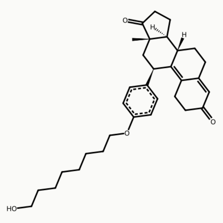 C[C@]12C[C@H](c3ccc(OCCCCCCCCO)cc3)C3=C4CCC(=O)C=C4CC[C@H]3[C@@H]1CCC2=O